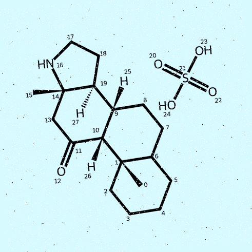 C[C@]12CCCCC1CC[C@@H]1[C@H]2C(=O)C[C@]2(C)NCC[C@@H]12.O=S(=O)(O)O